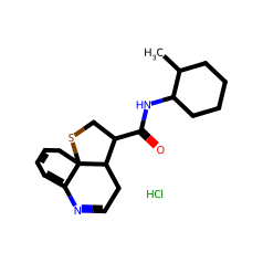 CC1CCCCC1NC(=O)C1CSC23CC=CC=C2N=CCC13.Cl